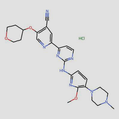 COc1nc(Nc2nccc(-c3cc(C#N)c(OC4CCOCC4)cn3)n2)ccc1N1CCN(C)CC1.Cl